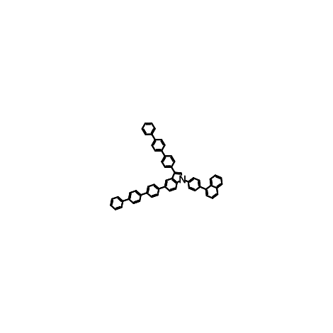 c1ccc(-c2ccc(-c3ccc(-c4ccc5c(c4)c(-c4ccc(-c6ccc(-c7ccccc7)cc6)cc4)cn5-c4ccc(-c5cccc6ccccc56)cc4)cc3)cc2)cc1